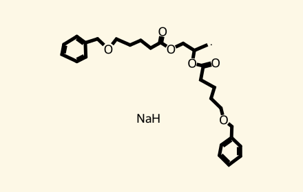 [CH2]C(COC(=O)CCCCOCc1ccccc1)OC(=O)CCCCOCc1ccccc1.[NaH]